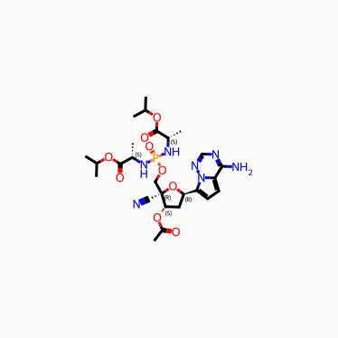 CC(=O)O[C@H]1C[C@H](c2ccc3c(N)ncnn23)O[C@]1(C#N)COP(=O)(N[C@@H](C)C(=O)OC(C)C)N[C@@H](C)C(=O)OC(C)C